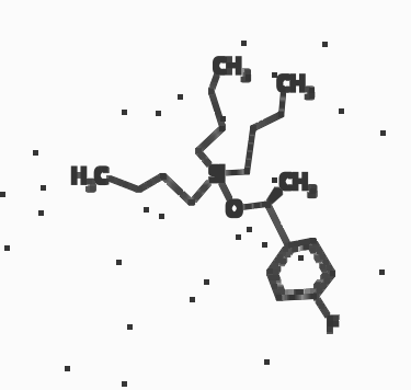 CCCC[Si](CCCC)(CCCC)O[C@@H](C)c1ccc(F)cc1